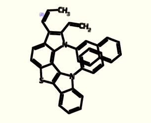 C=Cc1c(/C=C\C)c2ccc3sc4c5ccccc5n(-c5ccccc5)c4c3c2n1-c1ccc2ccccc2c1